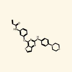 C=CC(=O)Nc1cccc(Oc2nc(Nc3ccc(N4CCSCC4)cc3)nc3ccsc23)c1